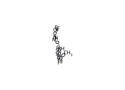 Cc1ccc(OCC(F)(F)F)c(N2C(=O)CS/C2=N\C(=S)NOCc2ccc(-c3ncn(-c4ccc(OC(F)(F)F)cc4)n3)cc2)c1